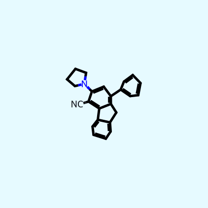 N#Cc1c(N2CCCC2)cc(-c2ccccc2)c2c1-c1ccccc1C2